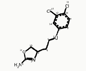 NC1=NC(CCOc2ccc(Cl)c(Cl)c2)CO1